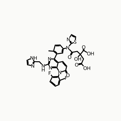 Cc1ccc(N(C(=O)CC(O)(CC(=O)O)C(=O)O)c2nccs2)cc1-c1nc(NCc2ncc[nH]2)nc2c1ccc(=O)n2-c1c(F)cccc1F